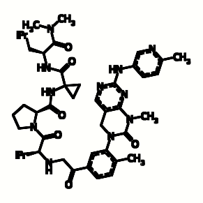 Cc1ccc(Nc2ncc3c(n2)N(C)C(=O)N(c2cc(C(=O)CN[C@H](C(=O)N4CCC[C@H]4C(=O)NC4(C(=O)N[C@@H](CC(C)C)C(=O)N(C)C)CC4)C(C)C)ccc2C)C3)cn1